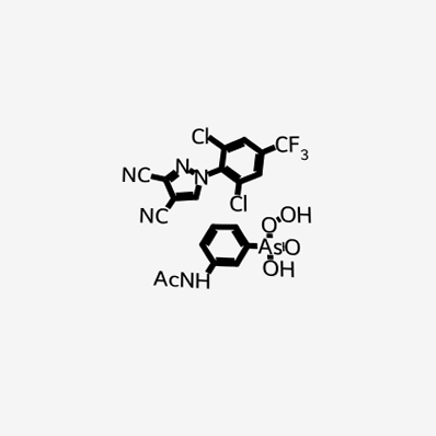 CC(=O)Nc1cccc([As](=O)(O)OO)c1.N#Cc1cn(-c2c(Cl)cc(C(F)(F)F)cc2Cl)nc1C#N